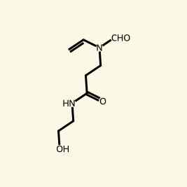 C=CN(C=O)CCC(=O)NCCO